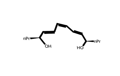 CCC[C@H](O)/C=C/C=C\C=C\[C@H](O)CCC